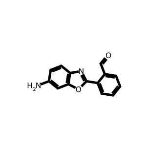 Nc1ccc2nc(-c3ccccc3C=O)oc2c1